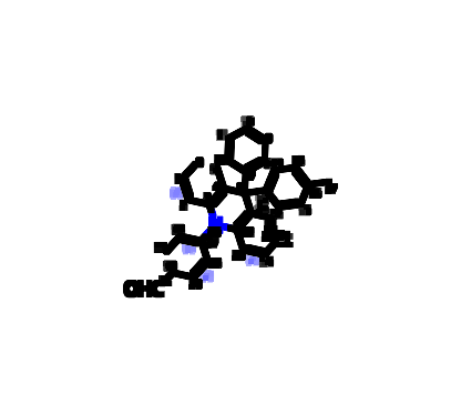 C/C=C\C1=C(C)C(c2ccccc2)(c2ccc(C)cc2)C(C)=C(/C=C\CC)N1C(/C=C\CC=O)=C/C